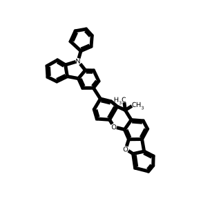 CC1(C)c2cc(-c3ccc4c(c3)c3ccccc3n4-c3ccccc3)ccc2Oc2c1ccc1c2oc2ccccc21